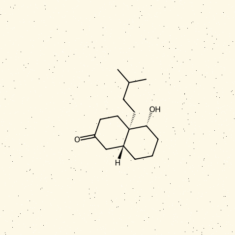 CC(C)CC[C@@]12CCC(=O)C[C@H]1CCC[C@H]2O